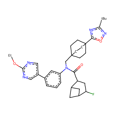 CCOc1ncc(-c2cccc(N(CC34CCC(c5nc(C(C)(C)C)no5)(CC3)CC4)C(=O)C3CC(F)C4CC3C4)c2)cn1